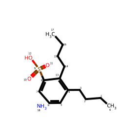 CCCCc1cccc(S(=O)(=O)O)c1CCCC.N